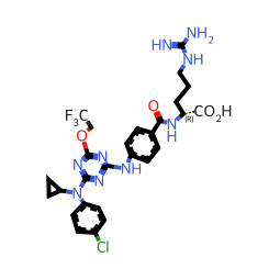 N=C(N)NCCC[C@@H](NC(=O)c1ccc(Nc2nc(OCC(F)(F)F)nc(N(c3ccc(Cl)cc3)C3CC3)n2)cc1)C(=O)O